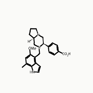 COc1cc(C)c2[nH]ccc2c1CN1C[C@H]2CCCN2C[C@H]1c1ccc(C(=O)O)cc1